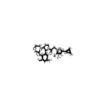 Cc1cc(F)cc(C2C(N3CCOCC3)CCN2C(=O)Cn2nc(C3CC3)cc2C(F)(F)F)c1Cl